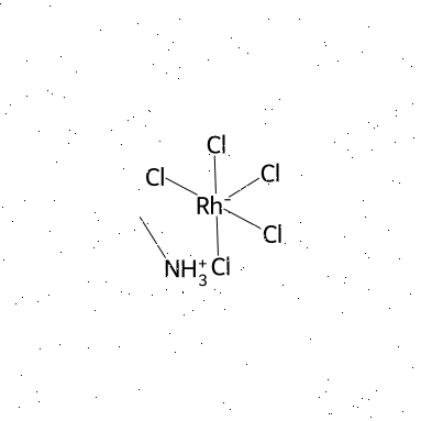 C[NH3+].[Cl][Rh-]([Cl])([Cl])([Cl])[Cl]